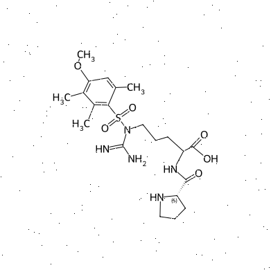 COc1cc(C)c(S(=O)(=O)N(CCCC(NC(=O)[C@@H]2CCCN2)C(=O)O)C(=N)N)c(C)c1C